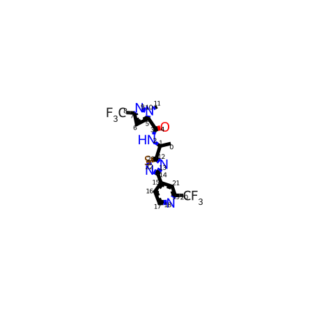 CC(NC(=O)c1cc(C(F)(F)F)nn1C)c1nc(-c2ccnc(C(F)(F)F)c2)ns1